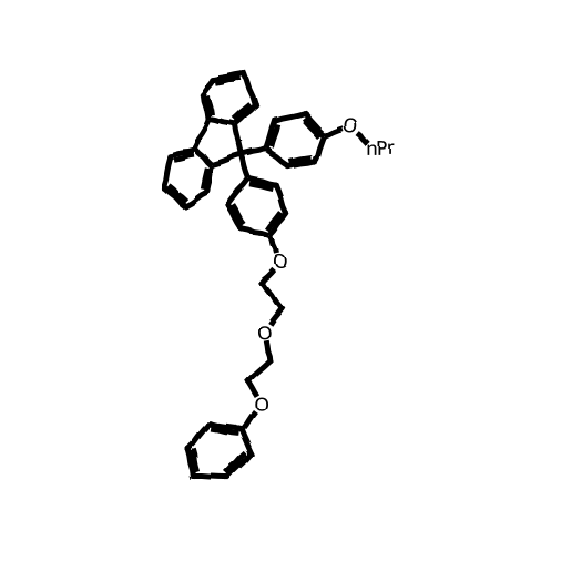 CCCOc1ccc(C2(c3ccc(OCCOCCOc4ccccc4)cc3)c3ccccc3-c3ccccc32)cc1